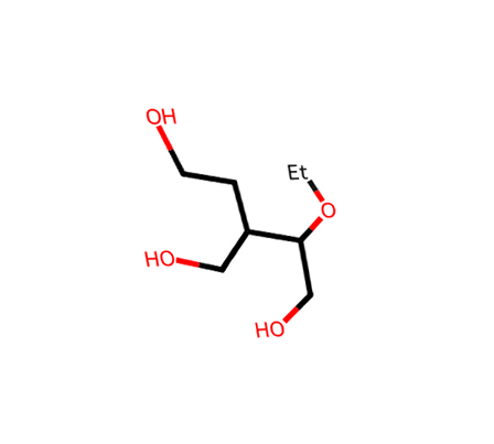 CCOC(CO)C(CO)CCO